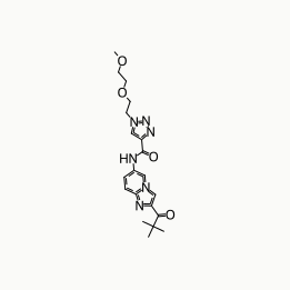 COCCOCCn1cc(C(=O)Nc2ccc3nc(C(=O)C(C)(C)C)cn3c2)nn1